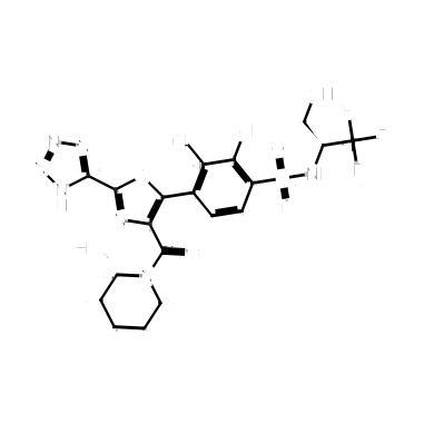 CC[C@H](NS(=O)(=O)c1ccc(-c2sc(-c3nnn[nH]3)nc2C(=O)N2CCCC[C@@H]2C)c(Cl)c1Cl)C(F)(F)F